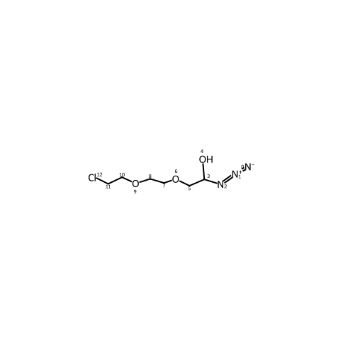 [N-]=[N+]=NC(O)COCCOCCCl